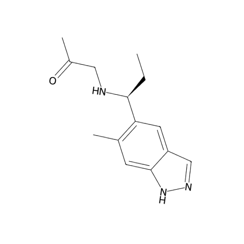 CC[C@H](NCC(C)=O)c1cc2cn[nH]c2cc1C